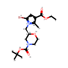 CCOC(=O)c1cc(Br)n(C[C@@H]2CN(C(=O)OC(C)(C)C)CCO2)c1C